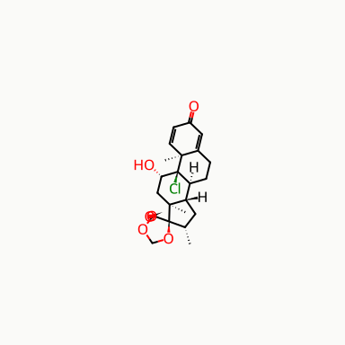 C[C@H]1C[C@H]2[C@@H]3CCC4=CC(=O)C=C[C@]4(C)[C@@]3(Cl)[C@@H](O)C[C@]2(C)[C@]12OCOC21COCO1